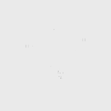 SC1C#CCCCC(S)CCCCCCC1.[Na].[Na]